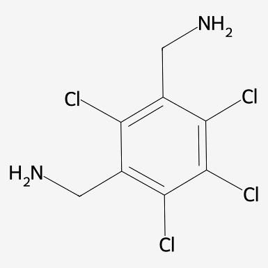 NCc1c(Cl)c(Cl)c(Cl)c(CN)c1Cl